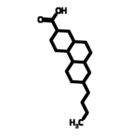 CCCCC1CCC2C(CCC3CC(C(=O)O)CCC32)C1